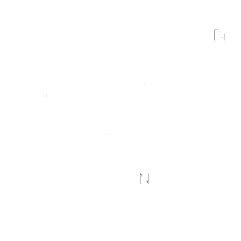 CN1CCc2cc(Br)ccc2C1C1CCCCC1